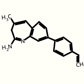 C=Cc1ccc(-c2ccc3c(c2)N=C(N)CC(C)=C3)cc1